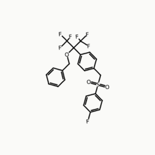 O=S(=O)(Cc1ccc(C(OCc2ccccc2)(C(F)(F)F)C(F)(F)F)cc1)c1ccc(F)cc1